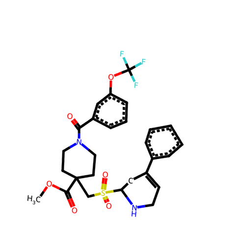 COC(=O)C1(CS(=O)(=O)C2CC(c3ccccc3)=CCN2)CCN(C(=O)c2cccc(OC(F)(F)F)c2)CC1